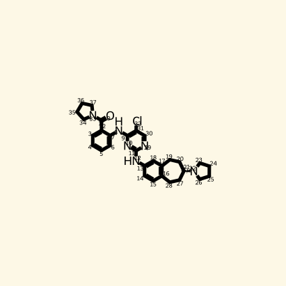 O=C(c1ccccc1Nc1nc(Nc2ccc3c(c2)CC[C@@H](N2CCCC2)CC3)ncc1Cl)N1CCCC1